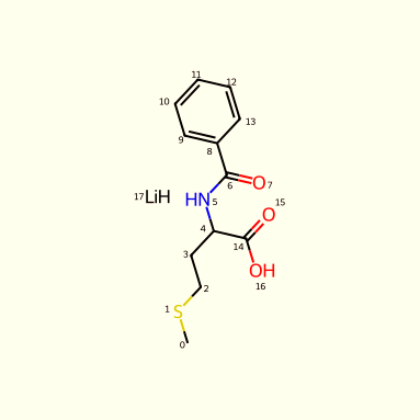 CSCCC(NC(=O)c1ccccc1)C(=O)O.[LiH]